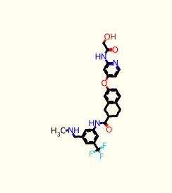 CNCc1cc(NC(=O)C2CCc3ccc(Oc4ccnc(NC(=O)CO)c4)cc3C2)cc(C(F)(F)F)c1